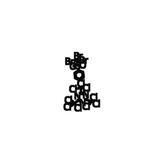 ClC(Cl)(Cl)c1nc(C(Cl)(Cl)Cl)nc(C(Cl)(Cl)Cl)n1.O=S(=O)(c1ccccc1)C(Br)(Br)Br